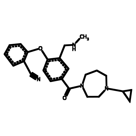 CNCc1cc(C(=O)N2CCCN(C3CC3)CC2)ccc1Oc1ccccc1C#N